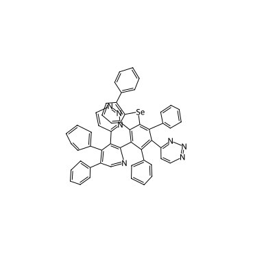 c1ccc(-c2cnc(-c3c(-c4ccccc4)c(-c4ccnnn4)c(-c4ccccc4)c4[se]c5c(-c6ccccc6)cccc5c34)c(-c3ccnnn3)c2-c2ccccc2)cc1